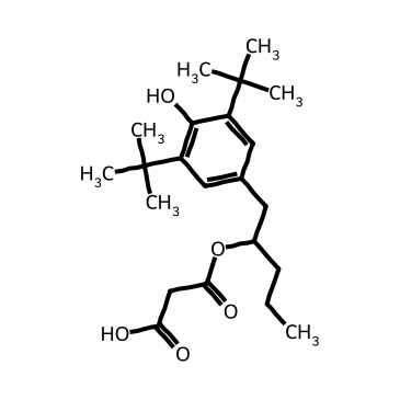 CCCC(Cc1cc(C(C)(C)C)c(O)c(C(C)(C)C)c1)OC(=O)CC(=O)O